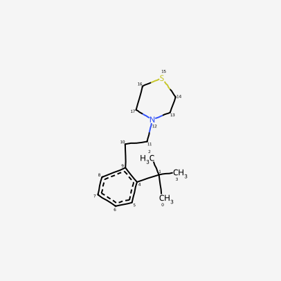 CC(C)(C)c1ccccc1CCN1CCSCC1